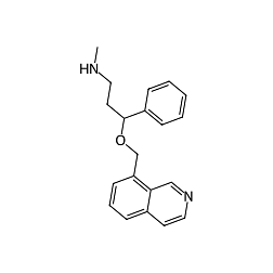 CNCCC(OCc1cccc2ccncc12)c1ccccc1